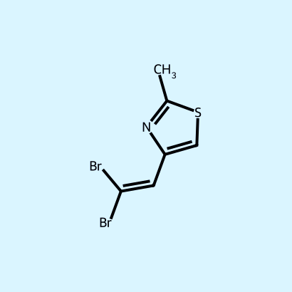 Cc1nc(C=C(Br)Br)cs1